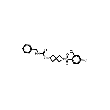 O=C(NCc1ccccc1)ON1CC2(C1)CN(S(=O)(=O)c1ccc(Cl)cc1Cl)C2